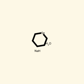 C1CC[Se]CC1.O.[NaH]